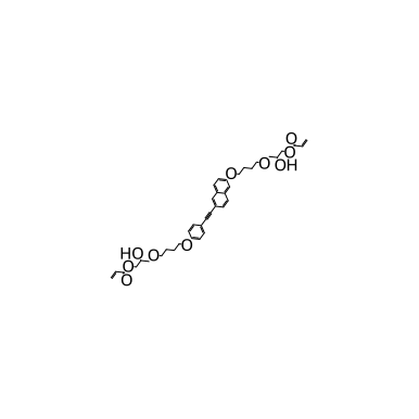 C=CC(=O)OCC(O)COCCCCOc1ccc(C#Cc2ccc3cc(OCCCCOCC(O)COC(=O)C=C)ccc3c2)cc1